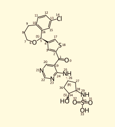 O=C(c1cc([C@H]2OCCCc3ccc(Cl)cc32)cs1)c1cncnc1N[C@@H]1C[C](NS(=O)(=O)O)[C@@H](O)C1